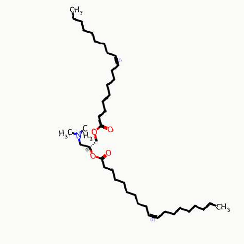 CCCCCCCC/C=C\CCCCCCCCC(=O)O[C@@H](COC(=O)CCCCCCC/C=C\CCCCCCCC)CN(C)C